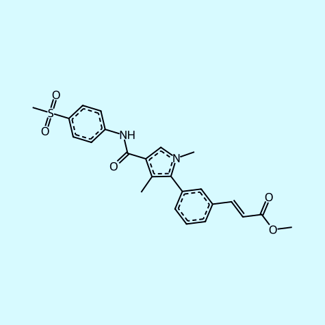 COC(=O)/C=C/c1cccc(-c2c(C)c(C(=O)Nc3ccc(S(C)(=O)=O)cc3)cn2C)c1